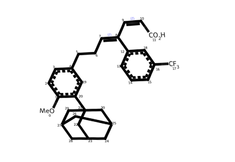 COc1ccc(CC/C=C(/C=C\C(=O)O)c2cccc(C(F)(F)F)c2)cc1C12CC3CC(CC(C3)C1)C2